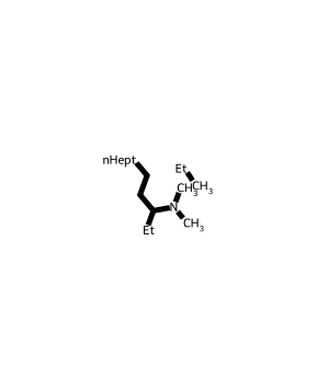 CCC.CCCCCCCCCC(CC)N(C)C